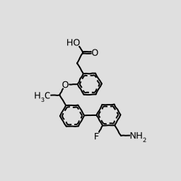 CC(Oc1ccccc1CC(=O)O)c1cccc(-c2cccc(CN)c2F)c1